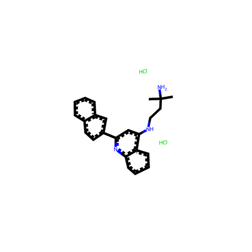 CC(C)(N)CCNc1cc(-c2ccc3ccccc3c2)nc2ccccc12.Cl.Cl